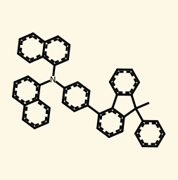 CC1(c2ccccc2)c2ccccc2-c2c(-c3ccc(N(c4cccc5ccccc45)c4cccc5ccccc45)cc3)cccc21